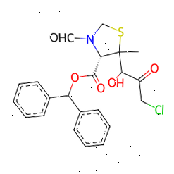 CC1(C(O)C(=O)CCl)SCN(C=O)[C@H]1C(=O)OC(c1ccccc1)c1ccccc1